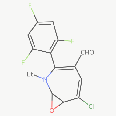 CCN1C(c2c(F)cc(F)cc2F)=C(C=O)C=C(Cl)C2OC21